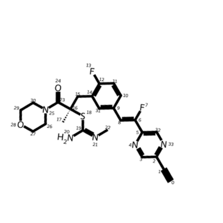 C#Cc1cnc(/C(F)=C/c2ccc(F)c(C[C@@](C)(S/C(N)=N\C)C(=O)N3CCOCC3)c2)cn1